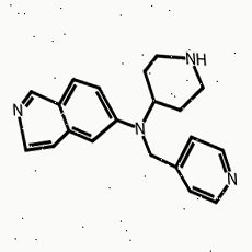 c1cc(CN(c2ccc3cnccc3c2)C2CCNCC2)ccn1